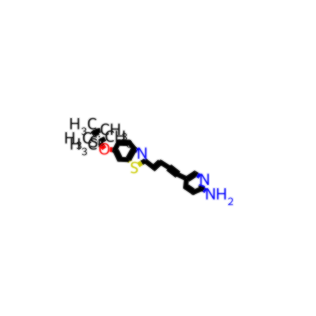 CC(C)(C)[Si](C)(C)Oc1ccc2nc(/C=C/C#Cc3ccc(N)nc3)sc2c1